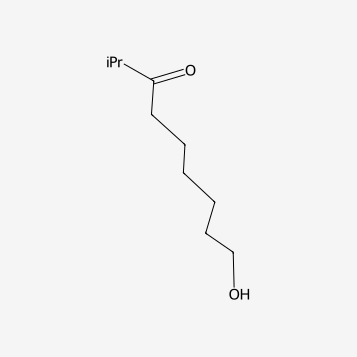 CC(C)C(=O)CCCCCCO